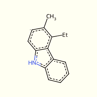 CCc1c(C)[c]cc2[nH]c3ccccc3c12